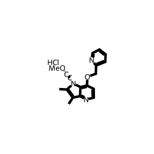 COCCn1c(C)c(C)c2nccc(OCc3ccccn3)c21.Cl